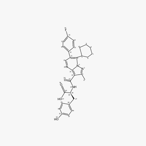 Cc1nn2c(C3CCCCC3)c(-c3ccc(F)cc3)cnc2c1C(=O)N[C@@H](Cc1ccc(O)cc1)C(=O)O